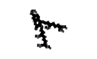 COc1ccc2c(OC/C=C(\C)CCC=C(C)C)c(OC/C=C(\C)CCC=C(C)C)c(=O)oc2c1